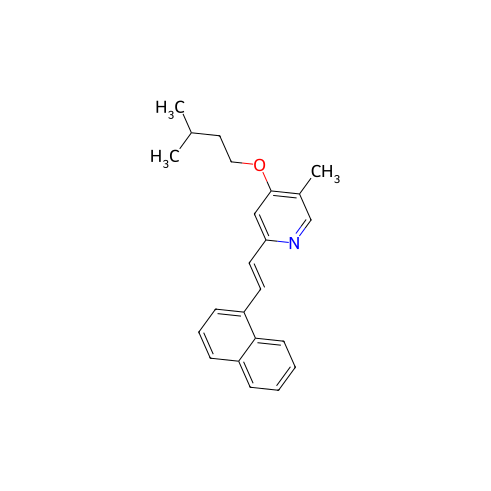 Cc1cnc(/C=C/c2cccc3ccccc23)cc1OCCC(C)C